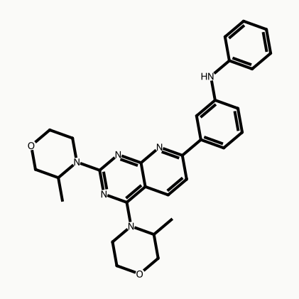 CC1COCCN1c1nc(N2CCOCC2C)c2ccc(-c3cccc(Nc4ccccc4)c3)nc2n1